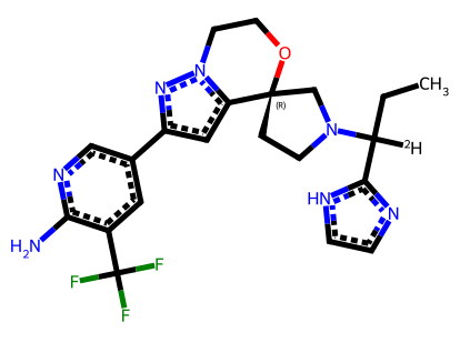 [2H]C(CC)(c1ncc[nH]1)N1CC[C@]2(C1)OCCn1nc(-c3cnc(N)c(C(F)(F)F)c3)cc12